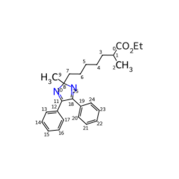 CCOC(=O)C(C)CCCCCC1(C)N=C(c2ccccc2)C(c2ccccc2)=N1